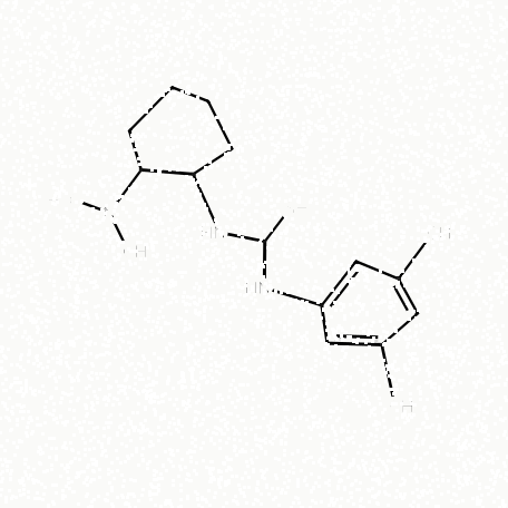 Cc1cc(C)cc(NC(S)NC2CCCCC2N(C)C)c1